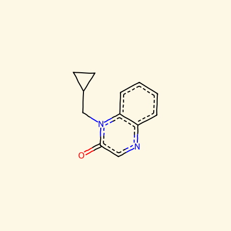 O=c1cnc2ccccc2n1CC1CC1